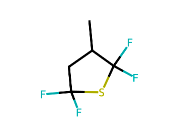 CC1CC(F)(F)SC1(F)F